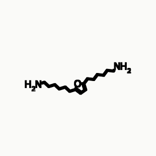 NCCCCCCc1ccc(CCCCCCN)o1